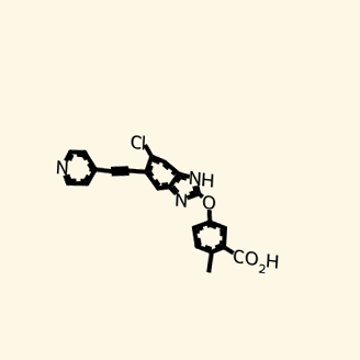 Cc1ccc(Oc2nc3cc(C#Cc4ccncc4)c(Cl)cc3[nH]2)cc1C(=O)O